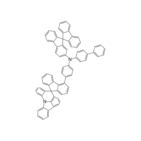 c1ccc(-c2ccc(N(c3ccc(-c4cccc5c4-c4ccccc4C54c5ccccc5-n5c6ccccc6c6cccc4c65)cc3)c3ccc4c(c3)C3(c5ccccc5-c5ccccc53)c3ccccc3-4)cc2)cc1